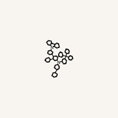 c1ccc(-c2ccc(N(c3cccc(C(c4ccccc4)(c4ccccc4)c4ccccc4)c3)c3ccc(-c4cccc(-n5c6ccccc6c6ccccc65)c4)c(-c4ccccc4)c3)cc2)cc1